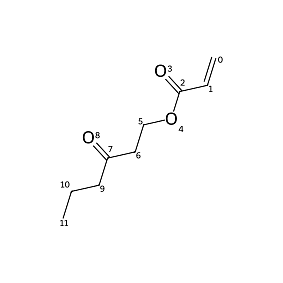 C=CC(=O)OCCC(=O)CCC